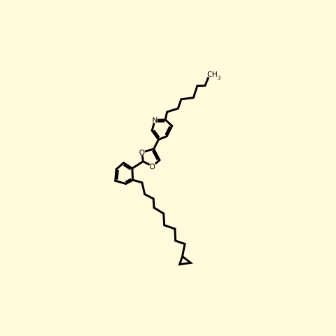 CCCCCCCc1ccc(C2=COC(c3ccccc3CCCCCCCCCC3CC3)O2)cn1